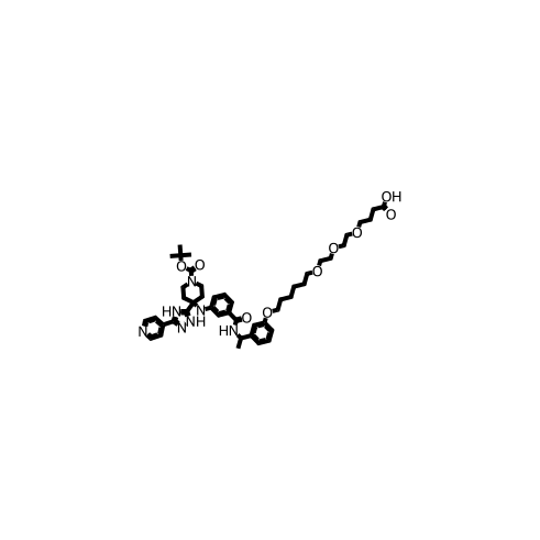 CC(NC(=O)c1cccc(NC2(c3nnc(-c4ccncc4)[nH]3)CCN(C(=O)OC(C)(C)C)CC2)c1)c1cccc(OCCCCCCOCCOCCOCCCC(=O)O)c1